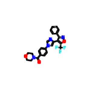 O=C(c1ccc(-n2cnc(-c3c(-c4ccccc4)noc3C(F)(F)F)c2)cc1)N1CCOCC1